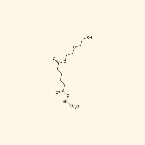 CCOC(=O)NOC(=O)CCCCC(=O)OCCOCCO